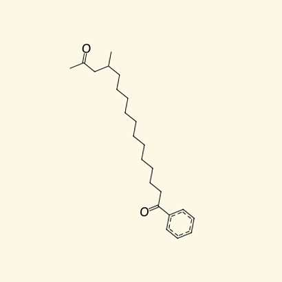 CC(=O)CC(C)CCCCCCCCCCCC(=O)c1ccccc1